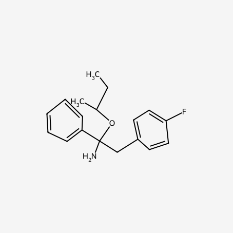 CCC(C)OC(N)(Cc1ccc(F)cc1)c1ccccc1